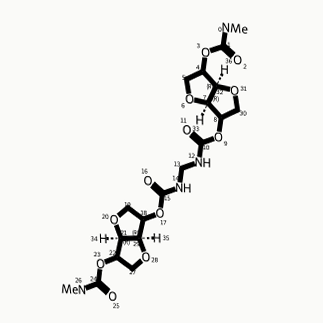 CNC(=O)OC1CO[C@@H]2C(OC(=O)NCNC(=O)OC3CO[C@@H]4C(OC(=O)NC)CO[C@H]34)CO[C@H]12